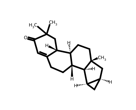 CC1(C)C[C@H]2C(=CC1=O)CC[C@@H]1[C@@H]2CC[C@]2(C)C[C@H]3C[C@H]3[C@@H]12